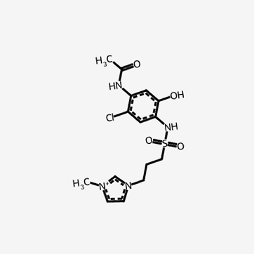 CC(=O)Nc1cc(O)c(NS(=O)(=O)CCCn2cc[n+](C)c2)cc1Cl